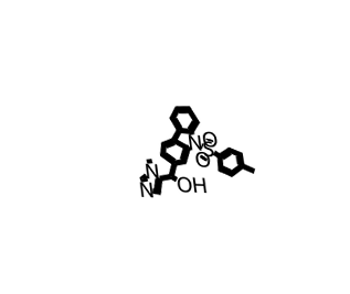 Cc1ccc(S(=O)(=O)n2c3ccccc3c3ccc(C(O)c4cncn4C)cc32)cc1